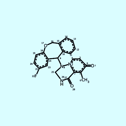 Cc1c2n(ccc1=O)N(C1c3ccccc3COc3ccc(F)cc31)CNC2=O